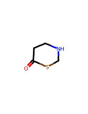 O=C1CCNCS1